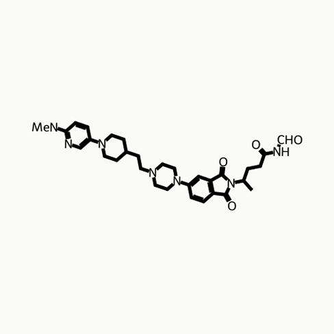 CNc1ccc(N2CCC(CCN3CCN(c4ccc5c(c4)C(=O)N(C(C)CCC(=O)NC=O)C5=O)CC3)CC2)cn1